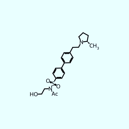 CC(=O)N(CCO)S(=O)(=O)c1ccc(-c2ccc(CCN3CCC[C@H]3C)cc2)cc1